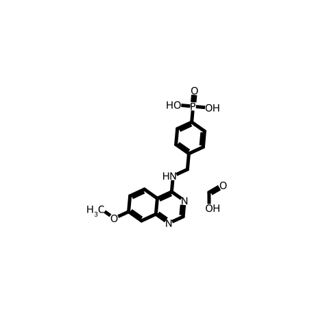 COc1ccc2c(NCc3ccc(P(=O)(O)O)cc3)ncnc2c1.O=CO